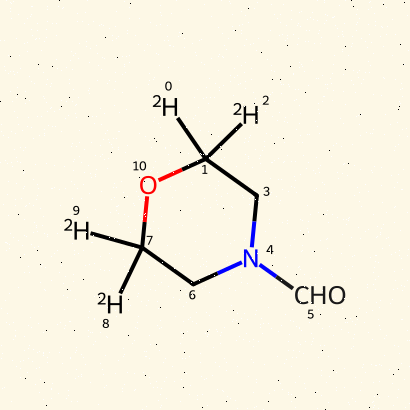 [2H]C1([2H])CN(C=O)CC([2H])([2H])O1